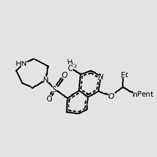 CCCCCC(CC)Oc1ncc(C)c2c(S(=O)(=O)N3CCCNCC3)cccc12